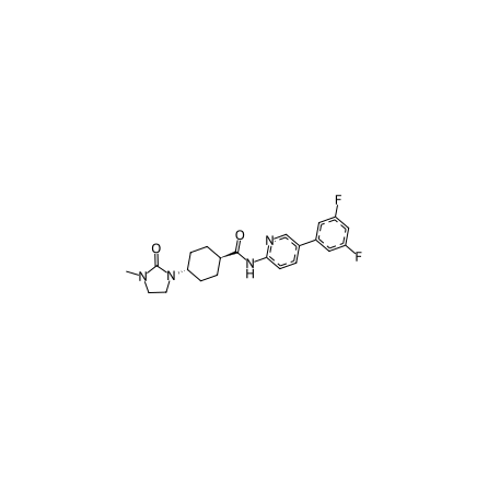 CN1CCN([C@H]2CC[C@H](C(=O)Nc3ccc(-c4cc(F)cc(F)c4)cn3)CC2)C1=O